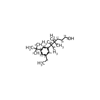 CCc1cc(C(C)(C)C)cc(C(C)(C)C(C)(C)CCCO)c1